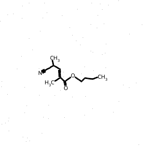 CCCCOC(=O)C(C)=CC(C)C#N